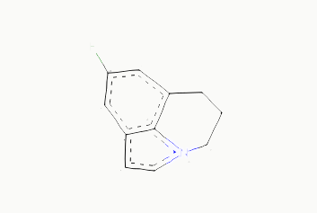 Fc1cc2c3c([c]cn3CCC2)c1